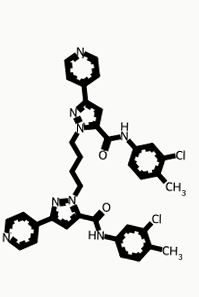 Cc1ccc(NC(=O)c2cc(-c3ccncc3)nn2CCCCn2nc(-c3ccncc3)cc2C(=O)Nc2ccc(C)c(Cl)c2)cc1Cl